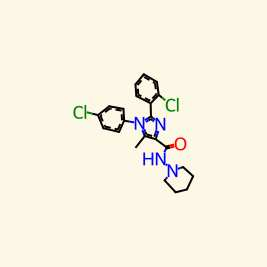 Cc1c(C(=O)NN2CCCCC2)nc(-c2ccccc2Cl)n1-c1ccc(Cl)cc1